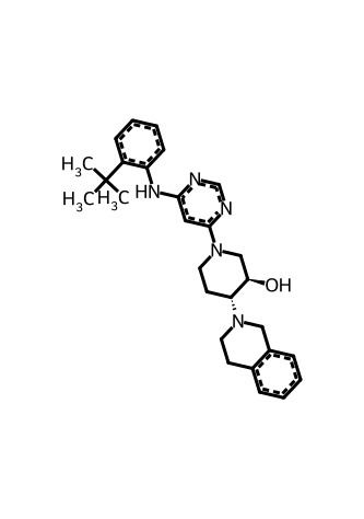 CC(C)(C)c1ccccc1Nc1cc(N2CC[C@@H](N3CCc4ccccc4C3)[C@H](O)C2)ncn1